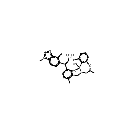 CCOC(=O)CC(c1ccc(C)c(CN2CC(C)Oc3cccc(F)c3S2(O)O)c1)c1ccc2c(nnn2C)c1C